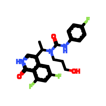 CC(c1c[nH]c(=O)c2c(F)cc(F)cc12)N(CCCO)C(=O)Nc1ccc(F)cc1